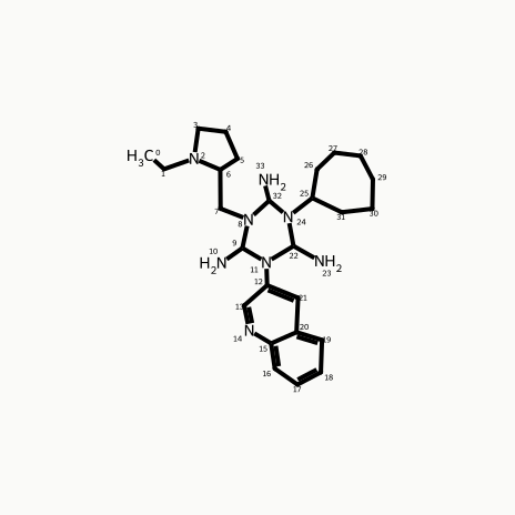 CCN1CCCC1CN1C(N)N(c2cnc3ccccc3c2)C(N)N(C2CCCCCC2)C1N